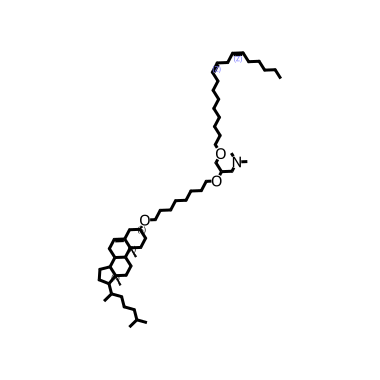 CCCCC/C=C\C/C=C\CCCCCCCCOCC(CN(C)C)OCCCCCCCCO[C@H]1CC[C@@]2(C)C(=CCC3C4CCC(C(C)CCCC(C)C)[C@@]4(C)CCC32)C1